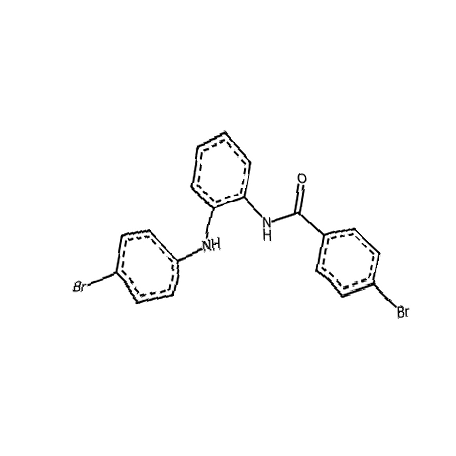 O=C(Nc1ccccc1Nc1ccc(Br)cc1)c1ccc(Br)cc1